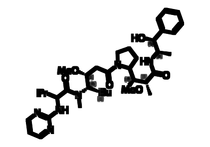 CC[C@H](C)[C@@H]([C@@H](CC(=O)N1CCCC1[C@H](OC)[C@@H](C)C(=O)N[C@H](C)[C@@H](O)c1ccccc1)OC)N(C)C(=O)C(Nc1ncccn1)C(C)C